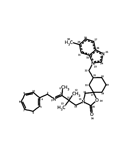 C/C(=N\CC1=CCC=CC=C1)C(C)(C)CN1CC2(CCCC(Cn3cnc4ccc(C)cc43)C2)OC1=O